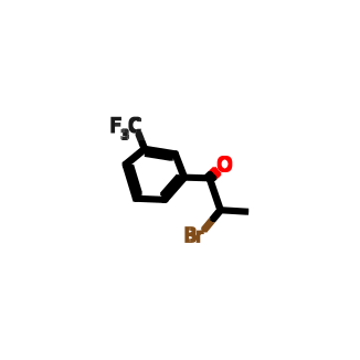 CC(Br)C(=O)c1cccc(C(F)(F)F)c1